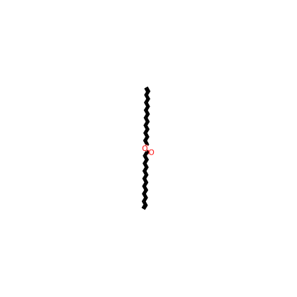 C=CCCCCCCCCCCCCCCOC(=O)CCCCCCCCCCCCCC=C